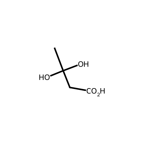 CC(O)(O)CC(=O)O